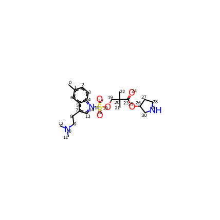 Cc1ccc2c(c1)c(CCN(C)C)cn2S(=O)(=O)OCC(C)(C)C(=O)OC1CCNC1